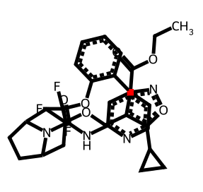 CCOC(=O)c1ccnc(NC(=O)N2C3CCC2CC(OCc2c(-c4ccccc4OC(F)(F)F)noc2C2CC2)C3)c1